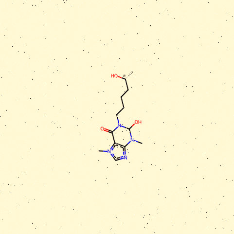 C[C@@H](O)CCCCN1C(=O)c2c(ncn2C)N(C)C1O